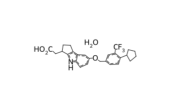 O.O=C(O)CC1CCc2c1[nH]c1ccc(OCc3ccc(C4CCCC4)c(C(F)(F)F)c3)cc21